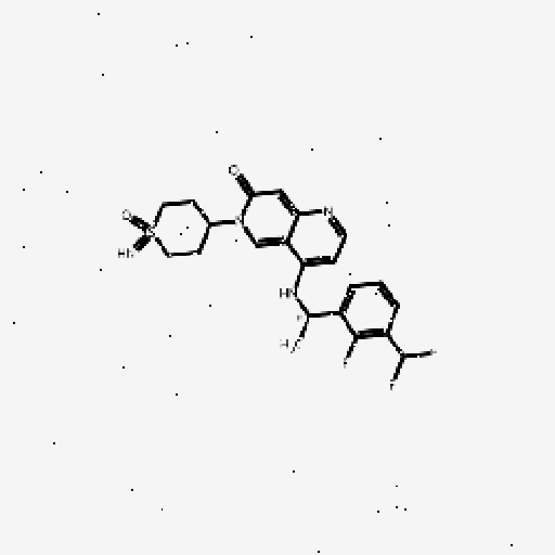 C[C@@H](Nc1ccnc2cc(=O)n(C3CCS(=N)(=O)CC3)cc12)c1cccc(C(F)F)c1F